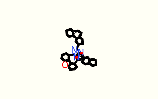 c1ccc(-c2cccc3oc4cccc(-c5nc(-c6ccc7ccccc7c6)nc(-c6ccc7ccc8ccccc8c7c6)n5)c4c23)cc1